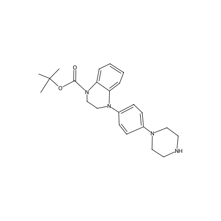 CC(C)(C)OC(=O)N1CCN(c2ccc(N3CCNCC3)cc2)c2ccccc21